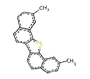 Cc1ccc2ccc3c4ccc5ccc(C)cc5c4sc3c2c1